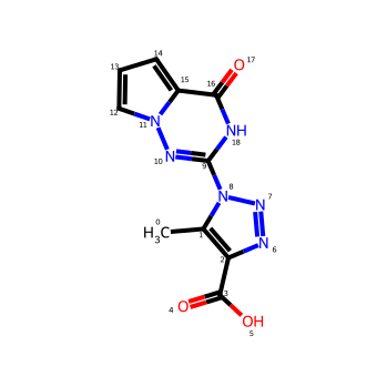 Cc1c(C(=O)O)nnn1-c1nn2cccc2c(=O)[nH]1